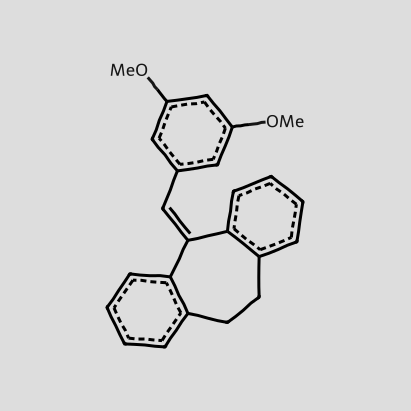 COc1cc(C=C2c3ccccc3CCc3ccccc32)cc(OC)c1